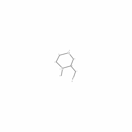 CN1CCOCC1CF